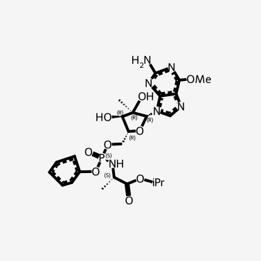 COc1nc(N)nc2c1ncn2[C@@H]1O[C@H](CO[P@@](=O)(N[C@@H](C)C(=O)OC(C)C)Oc2ccccc2)[C@@H](O)[C@@]1(C)O